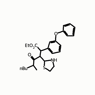 CCCCC(C)C(=O)C(C1NCCS1)C(C(=O)OCC)c1cccc(Oc2ccccc2)c1